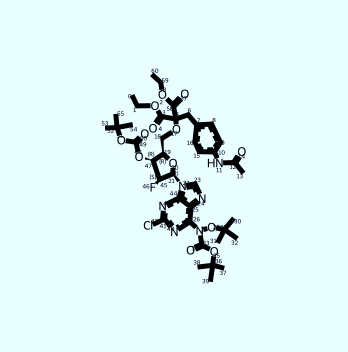 CCOC(=O)C(Cc1ccc(NC(C)=O)cc1)(OC[C@H]1O[C@@H](n2cnc3c(N(OC(C)(C)C)C(=O)OC(C)(C)C)nc(Cl)nc32)[C@@H](F)[C@@H]1OC(=O)OC(C)(C)C)C(=O)OCC